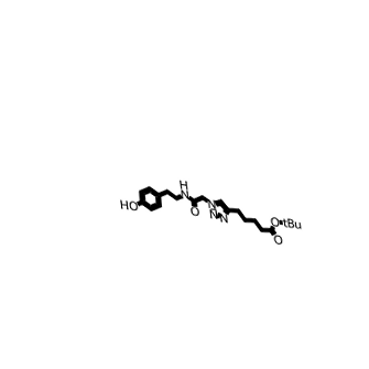 CC(C)(C)OC(=O)CCCCc1cn(CC(=O)NCCc2ccc(O)cc2)nn1